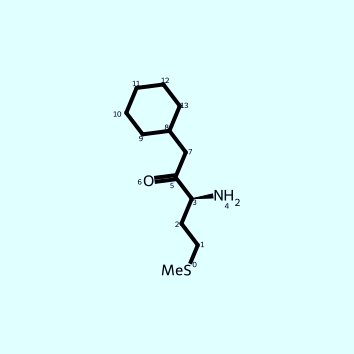 CSCC[C@H](N)C(=O)CC1CCCCC1